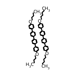 CCCCCCOc1ccc(-c2ccc(-c3ccc(-c4ccc(OCCCCCC)cc4)cc3)cc2)cc1.CCCCCOc1ccc(-c2ccc(-c3ccc(-c4ccc(OCCCCC)cc4)cc3)cc2)cc1